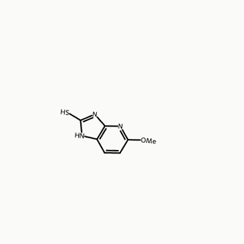 COc1ccc2[nH]c(S)nc2n1